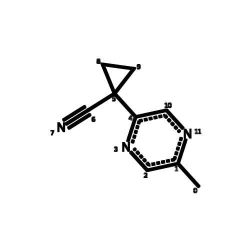 Cc1cnc(C2(C#N)CC2)cn1